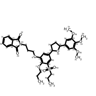 CCCOc1c(OCCCN2C(=O)c3ccccc3C2=O)cc(C2CCC(c3cc(OC)c(OC)c(OC)c3)O2)cc1S(=O)(=O)CCC